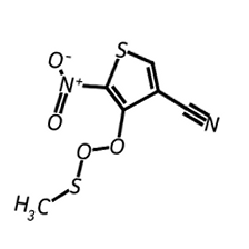 CSOOc1c(C#N)csc1[N+](=O)[O-]